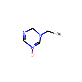 CCCCCN1C=[N+]([O-])C=NC1